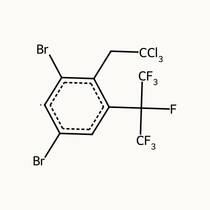 FC(F)(F)C(F)(c1cc(Br)[c]c(Br)c1CC(Cl)(Cl)Cl)C(F)(F)F